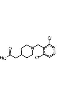 O=C(O)CC1CCN(Cc2c(Cl)cccc2Cl)CC1